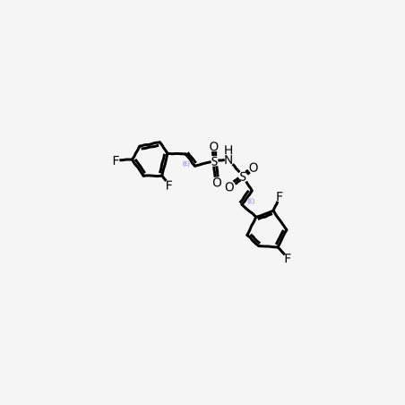 O=S(=O)(/C=C/c1ccc(F)cc1F)NS(=O)(=O)/C=C/c1ccc(F)cc1F